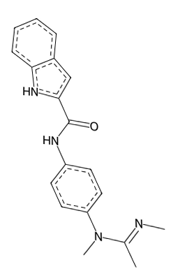 CN=C(C)N(C)c1ccc(NC(=O)c2cc3ccccc3[nH]2)cc1